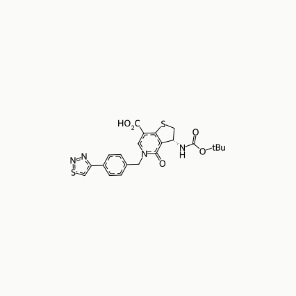 CC(C)(C)OC(=O)N[C@H]1CSc2c(C(=O)O)cn(Cc3ccc(-c4csnn4)cc3)c(=O)c21